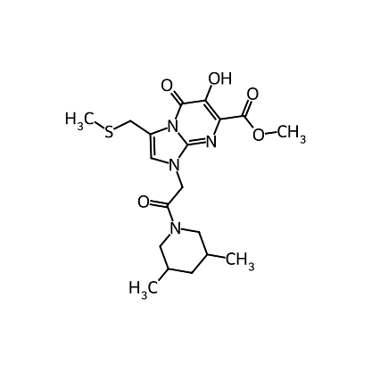 COC(=O)c1nc2n(CC(=O)N3CC(C)CC(C)C3)cc(CSC)n2c(=O)c1O